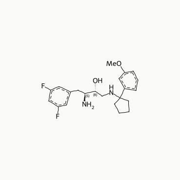 COc1cccc(C2(NC[C@@H](O)[C@@H](N)Cc3cc(F)cc(F)c3)CCCC2)c1